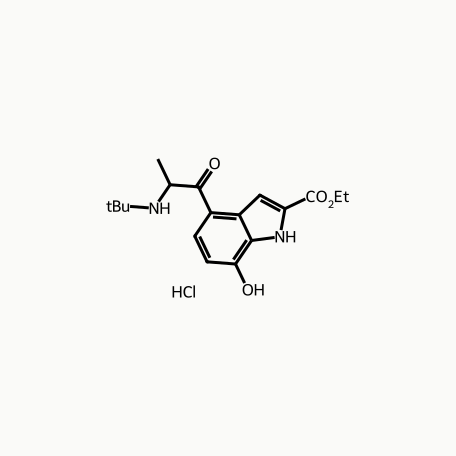 CCOC(=O)c1cc2c(C(=O)C(C)NC(C)(C)C)ccc(O)c2[nH]1.Cl